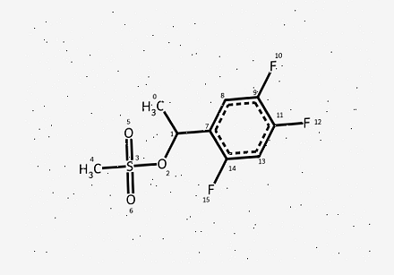 CC(OS(C)(=O)=O)c1cc(F)c(F)cc1F